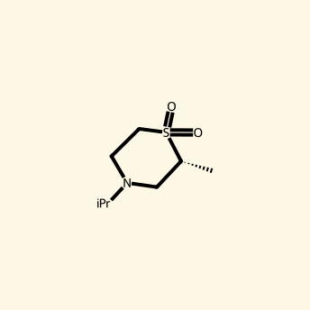 CC(C)N1CCS(=O)(=O)[C@H](C)C1